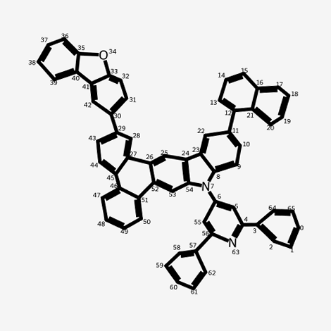 c1ccc(-c2cc(-n3c4ccc(-c5cccc6ccccc56)cc4c4cc5c6cc(-c7ccc8oc9ccccc9c8c7)ccc6c6ccccc6c5cc43)cc(-c3ccccc3)n2)cc1